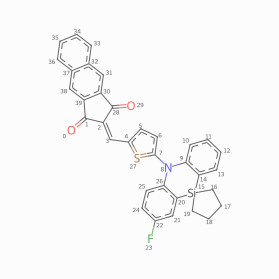 O=C1C(=Cc2ccc(N3c4ccccc4[Si]4(CCCC4)c4cc(F)ccc43)s2)C(=O)c2cc3ccccc3cc21